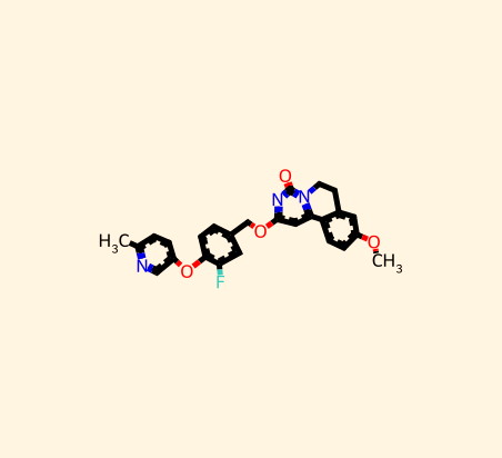 COc1ccc2c(c1)CCn1c-2cc(OCc2ccc(Oc3ccc(C)nc3)c(F)c2)nc1=O